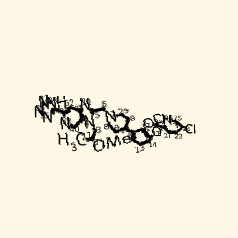 COC(C)Cn1c(CN2CCC(c3cccc4c3OC(C)(c3ccc(Cl)cn3)O4)CC2)nc2cc(-c3nnn[nH]3)ncc21